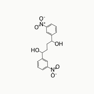 O=[N+]([O-])c1cccc(C(O)CCC(O)c2cccc([N+](=O)[O-])c2)c1